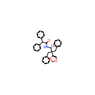 O=C(NC(C(=O)O)C(Cc1ccccc1)(Cc1ccccc1)C1=COCO1)C(c1ccccc1)c1ccccc1